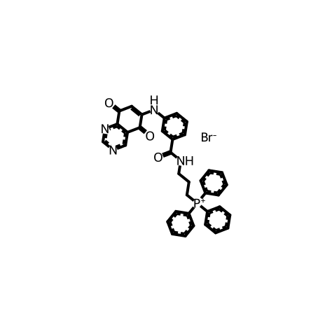 O=C(NCCC[P+](c1ccccc1)(c1ccccc1)c1ccccc1)c1cccc(NC2=CC(=O)c3ncncc3C2=O)c1.[Br-]